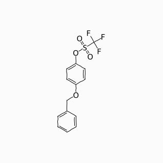 O=S(=O)(Oc1ccc(OCc2ccccc2)cc1)C(F)(F)F